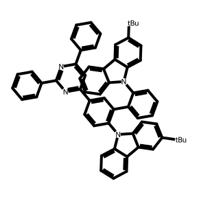 CC(C)(C)c1ccc2c(c1)c1ccccc1n2-c1ccccc1-c1cc(-c2cc(-c3ccccc3)nc(-c3ccccc3)n2)ccc1-n1c2ccccc2c2cc(C(C)(C)C)ccc21